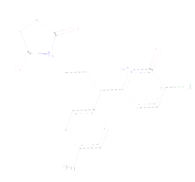 CC(C)(C)c1ccc(/C(=C\CN2C(=O)CCC2=O)c2ccc(Cl)c(=O)[nH]2)cc1